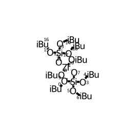 CCC(C)O[Si](OC(C)CC)(OC(C)CC)[O][Zr]([O]CC(C)C)([O]CC(C)C)[O][Si](OC(C)CC)(OC(C)CC)OC(C)CC